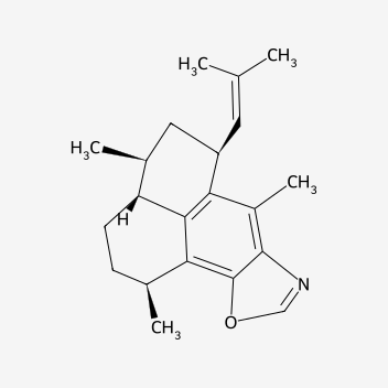 CC(C)=C[C@@H]1C[C@H](C)[C@H]2CC[C@H](C)c3c2c1c(C)c1ncoc31